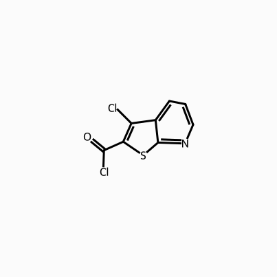 O=C(Cl)c1sc2ncccc2c1Cl